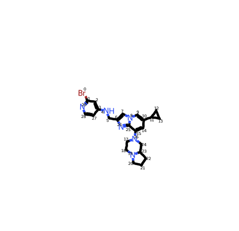 Brc1cc(NCc2cn3cc(C4CC4)cc(N4CCN5CCCC5C4)c3n2)ccn1